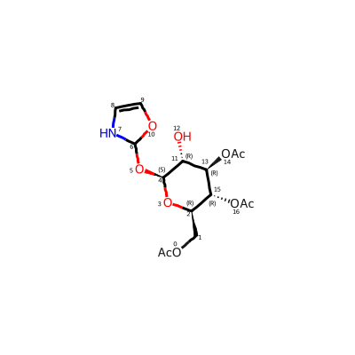 CC(=O)OC[C@H]1O[C@@H](OC2NC=CO2)[C@H](O)[C@@H](OC(C)=O)[C@@H]1OC(C)=O